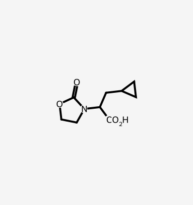 O=C(O)C(CC1CC1)N1CCOC1=O